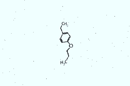 [CH2]CCOc1ccc(CC)cc1